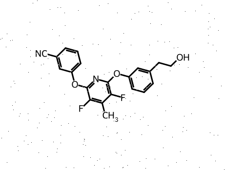 Cc1c(F)c(Oc2cccc(C#N)c2)nc(Oc2cccc(CCO)c2)c1F